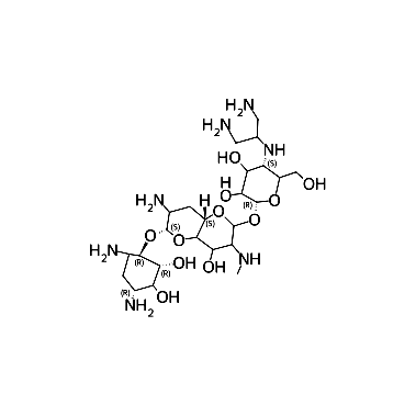 CNC1C(O[C@H]2OC(CO)[C@@H](NC(CN)CN)C(O)C2O)O[C@H]2CC(N)[C@@H](O[C@@H]3C(N)C[C@@H](N)C(O)[C@H]3O)OC2C1O